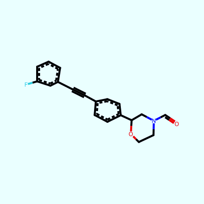 O=CN1CCOC(c2ccc(C#Cc3cccc(F)c3)cc2)C1